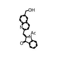 CC(=O)N1/C(=C\c2ccc3cc(CO)ccc3n2)C(=O)c2ccccc21